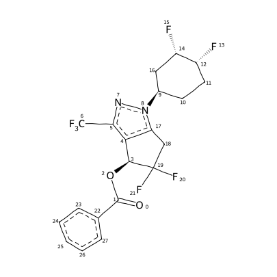 O=C(O[C@H]1c2c(C(F)(F)F)nn([C@@H]3CC[C@@H](F)[C@@H](F)C3)c2CC1(F)F)c1ccccc1